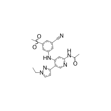 CCn1ccc(-c2cnc(NC(C)=O)cc2Nc2cc(C#N)cc(S(C)(=O)=O)c2)n1